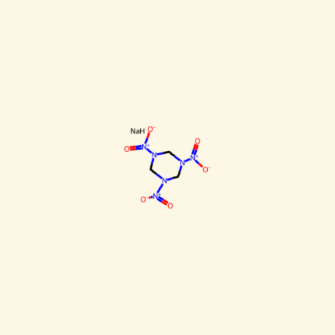 O=[N+]([O-])N1CN([N+](=O)[O-])CN([N+](=O)[O-])C1.[NaH]